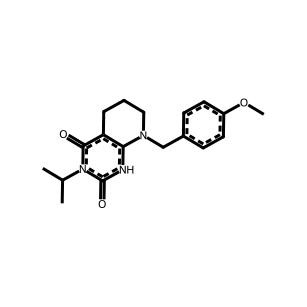 COc1ccc(CN2CCCc3c2[nH]c(=O)n(C(C)C)c3=O)cc1